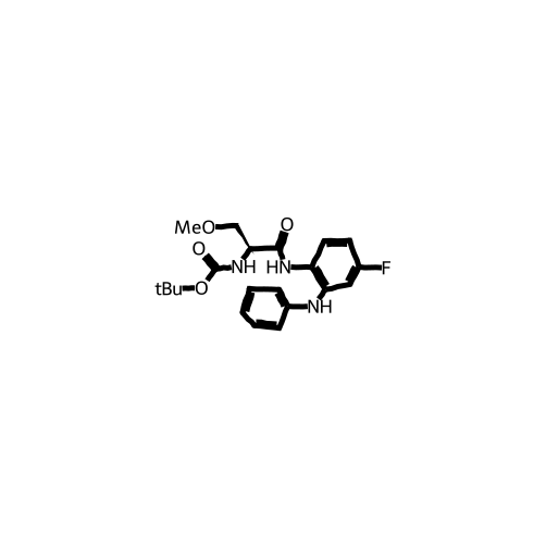 COC[C@H](NC(=O)OC(C)(C)C)C(=O)Nc1ccc(F)cc1Nc1ccccc1